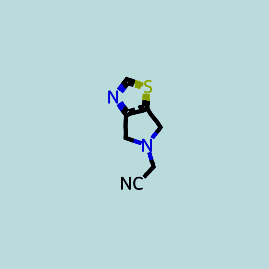 N#CCN1Cc2ncsc2C1